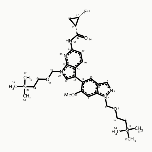 COc1cc2c(cnn2COCC[Si](C)(C)C)cc1-c1cn(COCC[Si](C)(C)C)c2nc(NC(=O)[C@@H]3C[C@@H]3F)ccc12